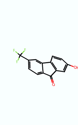 O=C1c2cc(O)ccc2-c2cc(C(F)(F)F)ccc21